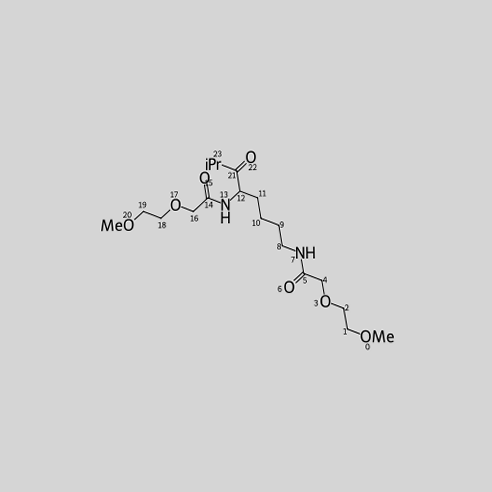 COCCOCC(=O)NCCCCC(NC(=O)COCCOC)C(=O)C(C)C